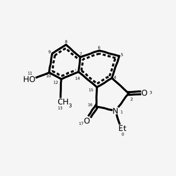 CCN1C(=O)c2ccc3ccc(O)c(C)c3c2C1=O